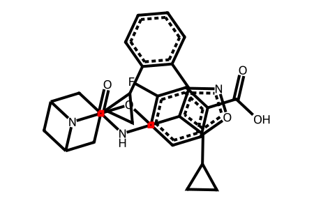 O=C(O)c1ccc(NC(=O)N2C3CC(OCc4c(-c5ccccc5C5CC5)noc4C4CC4)CC2C3)c(F)c1